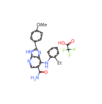 CCc1ccccc1Nc1c(C(N)=O)cnc2[nH]c(-c3ccc(OC)cc3)nc12.O=C(O)C(F)(F)F